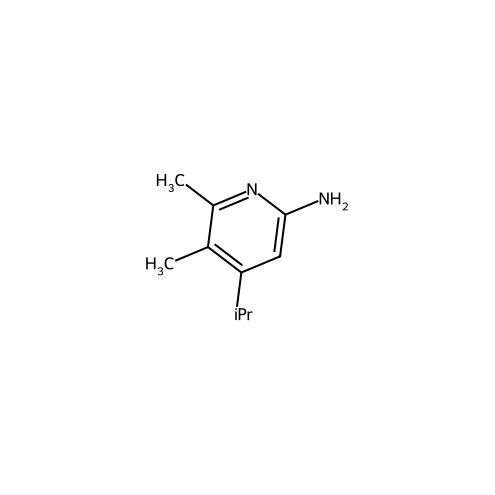 Cc1nc(N)cc(C(C)C)c1C